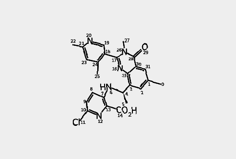 Cc1cc([C@@H](C)Nc2ccc(Cl)nc2C(=O)O)c2nc(-c3cnc(C)cc3C)n(C)c(=O)c2c1